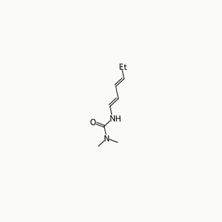 CC/C=C/C=C/NC(=O)N(C)C